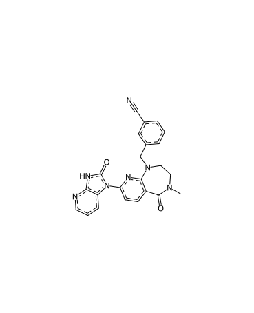 CN1CCN(Cc2cccc(C#N)c2)c2nc(-n3c(=O)[nH]c4ncccc43)ccc2C1=O